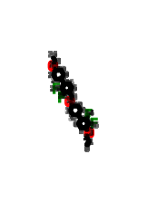 C=CCOc1ccc(C2CCC(OCc3ccc(C4CCC(OCC)CC4)c(F)c3F)CC2)c(F)c1F